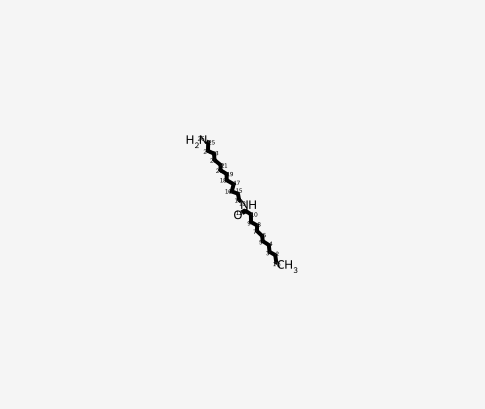 CCCCCCCCCCCC(=O)NCCCCCCCCCCCCN